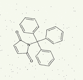 O=C1C=CC(=O)N1C(c1ccccc1)(c1ccccc1)c1ccccc1